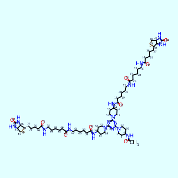 CC(=O)NC1CCN(c2nc(N3CCC(NC(=O)CCCCCNC(=O)CCCCCNC(=O)CCCCC4SCC5NC(=O)NC54)CC3)nc(N3CCC(NC(=O)CCCCCNC(=O)CCCCCNC(=O)CCCC[C@@H]4SCC5NC(=O)NC54)CC3)n2)CC1